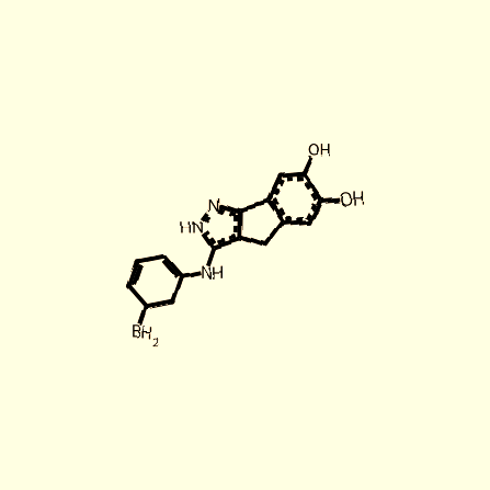 BC1C=CC=C(Nc2[nH]nc3c2Cc2cc(O)c(O)cc2-3)C1